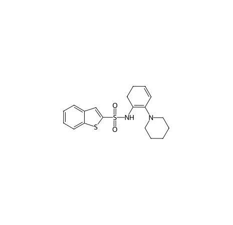 O=S(=O)(NC1=C(N2CCCCC2)C=CCC1)c1cc2ccccc2s1